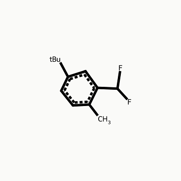 Cc1ccc(C(C)(C)C)cc1C(F)F